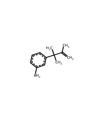 Bc1cccc(C(C)(C)C(=C)C)c1